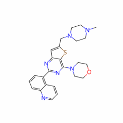 CN1CCN(Cc2cc3nc(-c4cccc5ncccc45)nc(N4CCOCC4)c3s2)CC1